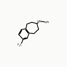 CCCNC1CCc2ccc(C(F)(F)F)cc2CC1